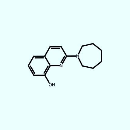 Oc1cccc2ccc(N3CCCCCC3)nc12